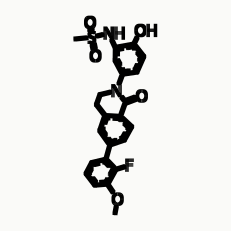 COc1cccc(-c2ccc3c(c2)CCN(c2ccc(O)c(NS(C)(=O)=O)c2)C3=O)c1F